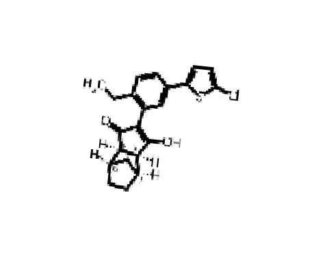 CCc1ccc(-c2ccc(Cl)s2)cc1C1=C(O)[C@H]2[C@H]3CC[C@H](C3)[C@H]2C1=O